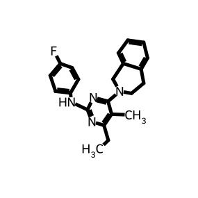 CCc1nc(Nc2ccc(F)cc2)nc(N2CCc3ccccc3C2)c1C